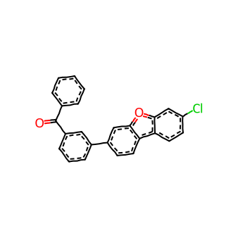 O=C(c1ccccc1)c1cccc(-c2ccc3c(c2)oc2cc(Cl)ccc23)c1